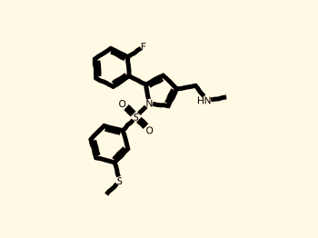 CNCc1cc(-c2ccccc2F)n(S(=O)(=O)c2cccc(SC)c2)c1